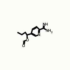 CCCC(O[C]=O)c1ccc(C(=N)N)nc1